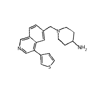 NC1CCN(Cc2ccc3cncc(-c4ccsc4)c3c2)CC1